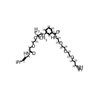 CC(C)C#CCNC(=O)COCCOC(C)(C)COc1cccc(C(=O)NCCOCCOCCOCCCNC(C)C)c1